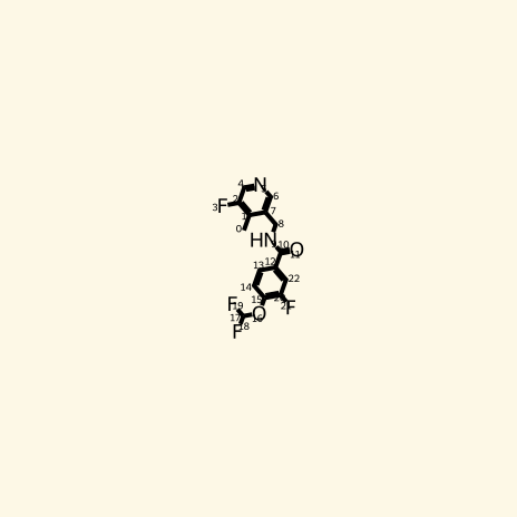 Cc1c(F)cncc1CNC(=O)c1ccc(OC(F)F)c(F)c1